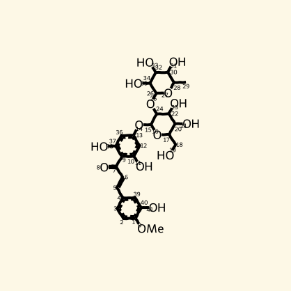 COc1ccc(C=CC(=O)c2c(O)cc(OC3OC(CO)C(O)C(O)C3OC3OC(C)C(O)C(O)C3O)cc2O)cc1O